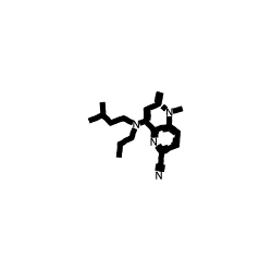 C=C/C=C(\c1nc(C#N)ccc1N(C)C)N(CCC)CCC(C)C